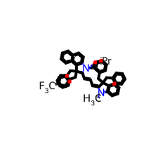 CC(C)CC[N+]1=C(/C=C/C=C2/N(C)c3ccccc3C2(Cc2ccccc2)Cc2ccccc2)C(Cc2ccccc2)(Cc2ccc(C(F)(F)F)cc2)c2c1ccc1ccccc21